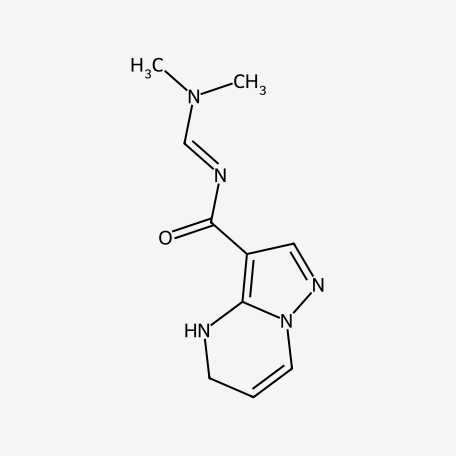 CN(C)C=NC(=O)c1cnn2c1NCC=C2